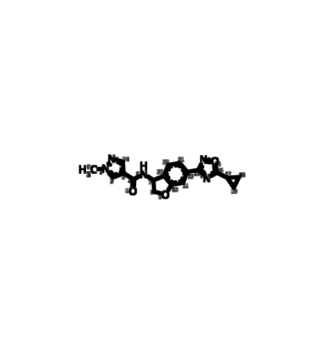 Cn1cc(C(=O)NC2COc3cc(-c4noc(C5CC5)n4)ccc32)cn1